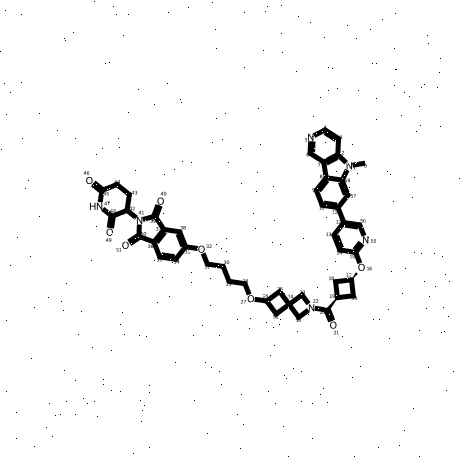 Cn1c2ccncc2c2ccc(-c3ccc(O[C@H]4C[C@H](C(=O)N5CC6(CC(OCCCCOc7ccc8c(c7)C(=O)N(C7CCC(=O)NC7=O)C8=O)C6)C5)C4)nc3)cc21